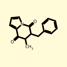 CC1C(=O)c2cccn2C(=O)C1Cc1ccccc1